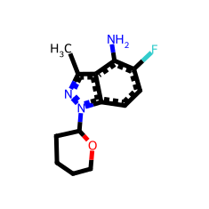 Cc1nn(C2CCCCO2)c2ccc(F)c(N)c12